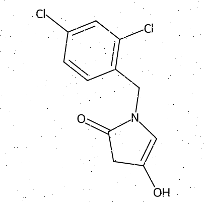 O=C1CC(O)=CN1Cc1ccc(Cl)cc1Cl